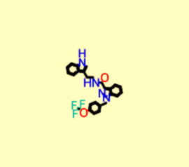 O=C(NCCc1c[nH]c2ccccc12)c1nn(Cc2ccc(OC(F)(F)F)cc2)c2ccccc12